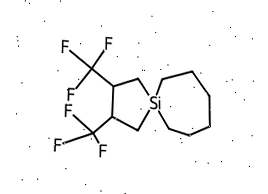 FC(F)(F)C1C[Si]2(CCCCCC2)CC1C(F)(F)F